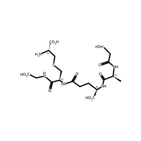 CCCCCCCCCCCC(=O)N[C@@H](C)C(=O)N[C@H](CCC(=O)N[C@H](CSC[C@H](N)C(=O)O)C(=O)NCC(=O)O)C(=O)O